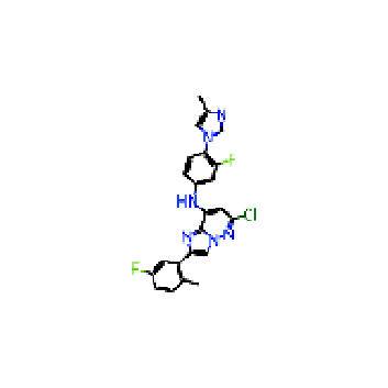 Cc1cn(-c2ccc(Nc3cc(Cl)nn4cc(-c5cc(F)ccc5C)nc34)cc2F)cn1